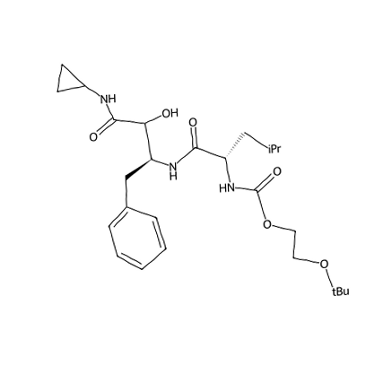 CC(C)C[C@H](NC(=O)OCCOC(C)(C)C)C(=O)N[C@@H](Cc1ccccc1)C(O)C(=O)NC1CC1